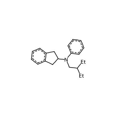 CCC(CC)CN(c1ccccc1)C1Cc2ccccc2C1